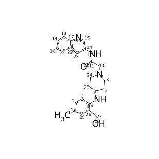 Cc1ccc(NC2CCN(CC(=O)Nc3cnc4ccccc4c3)CC2)c(CO)c1